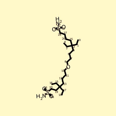 CCC(CC)(CCCCOCCCCC(CC)(CC)CCS(N)(=O)=O)CCCCS(N)(=O)=O